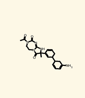 CC(=O)N1CCN2C(=O)C(C)(C3=CC(C4C=CC=C(N)C4)CC=C3)NC2=NC1=O